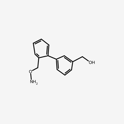 NOCc1ccccc1-c1cccc(CO)c1